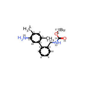 Cc1cc(C)c(-c2ccccc2CNC(=O)OC(C)(C)C)cc1N